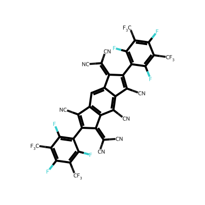 N#CC(C#N)=C1C(c2c(F)c(C(F)(F)F)c(F)c(C(F)(F)F)c2F)=C(C#N)c2c1cc1c(c2C#N)C(=C(C#N)C#N)C(c2c(F)c(C(F)(F)F)c(F)c(C(F)(F)F)c2F)=C1C#N